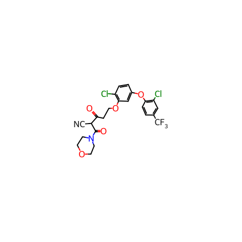 N#CC(C(=O)CCOc1cc(Oc2ccc(C(F)(F)F)cc2Cl)ccc1Cl)C(=O)N1CCOCC1